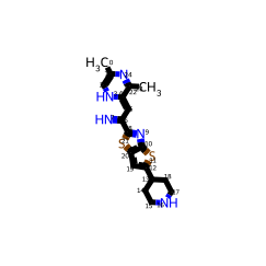 CC1=CN/C(=C\C(=N)c2nc3sc(C4CCNCC4)cc3s2)C(C)=N1